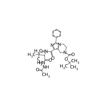 CC(=O)NNC(=O)C(NC(=O)c1nc(-c2ccccc2)n2c1CN(C(=O)OC(C)(C)C)CC2)C(C)(C)C